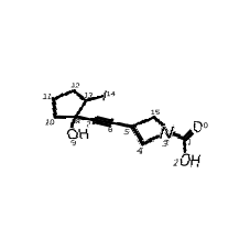 O=C(O)N1CC(C#CC2(O)CCCC2I)C1